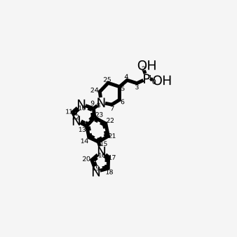 OP(O)CCC1CCN(c2ncnc3cc(-n4ccnc4)ccc23)CC1